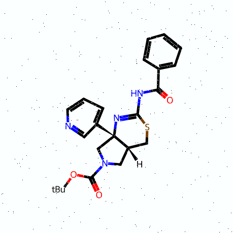 CC(C)(C)OC(=O)N1C[C@H]2CSC(NC(=O)c3ccccc3)=N[C@@]2(c2cccnc2)C1